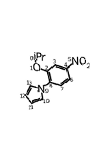 CC(C)Oc1cc([N+](=O)[O-])ccc1-n1cccc1